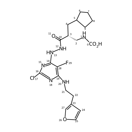 O=C(O)NC[C@@H](CC1CCCC1)C(=O)NNc1nc(Cl)nc(NCCc2ccoc2)c1F